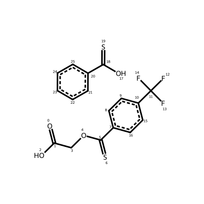 O=C(O)COC(=S)c1ccc(C(F)(F)F)cc1.OC(=S)c1ccccc1